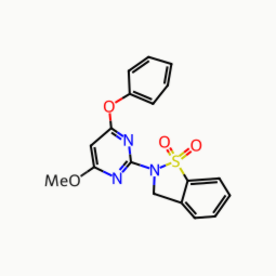 COc1cc(Oc2ccccc2)nc(N2Cc3ccccc3S2(=O)=O)n1